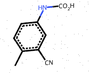 Cc1ccc(NC(=O)O)cc1C#N